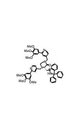 COc1cc(-c2cc(CN3CCN(Cc4ccnc(-c5cc(OC)c(OC)c(OC)c5)c4)[C@@H](CC(=O)NC(c4ccccc4)(c4ccccc4)c4ccccc4)C3=O)ccn2)cc(OC)c1OC